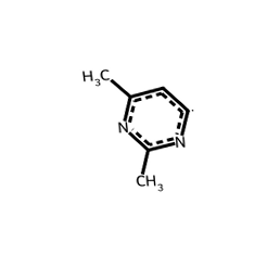 Cc1c[c]nc(C)n1